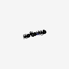 Cc1cccc(C)c1NC(=O)NS/N=C/c1ccc2c(c1)CCc1c-2nsc1-c1ccc(OC(F)(F)F)cc1